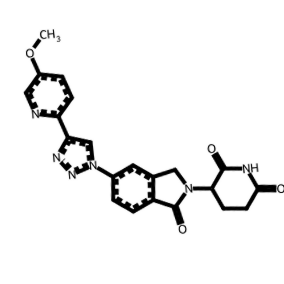 COc1ccc(-c2cn(-c3ccc4c(c3)CN(C3CCC(=O)NC3=O)C4=O)nn2)nc1